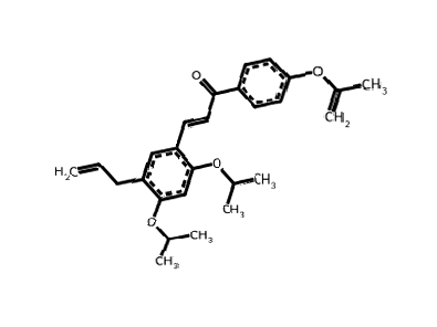 C=CCc1cc(C=CC(=O)c2ccc(OC(=C)C)cc2)c(OC(C)C)cc1OC(C)C